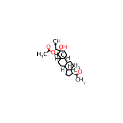 C#CC(OC(C)=O)[C@@]1(O)CC[C@@]2(C)[C@H](CC[C@@H]3[C@@H]2CC[C@]2(C)[C@@H](C(C)=O)CC[C@@H]32)C1